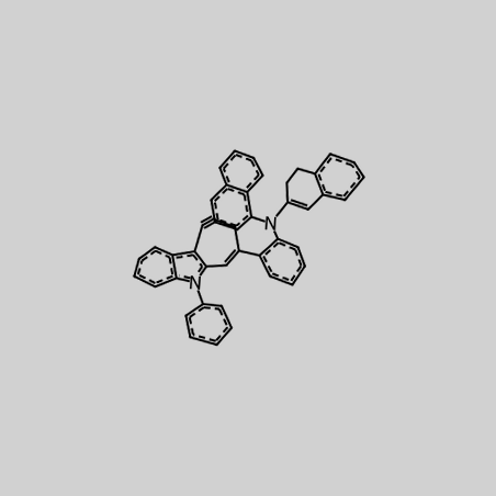 C1#Cc2c(n(-c3ccccc3)c3ccccc23)C=C(c2ccccc2N(C2=Cc3ccccc3CC2)c2cccc3ccccc23)C1